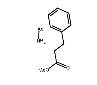 CC(N)=O.COC(=O)CCc1ccccc1